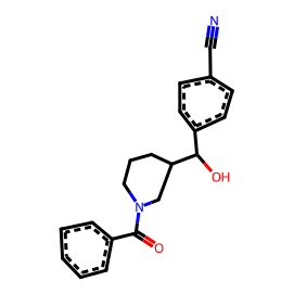 N#Cc1ccc(C(O)C2CCCN(C(=O)c3ccccc3)C2)cc1